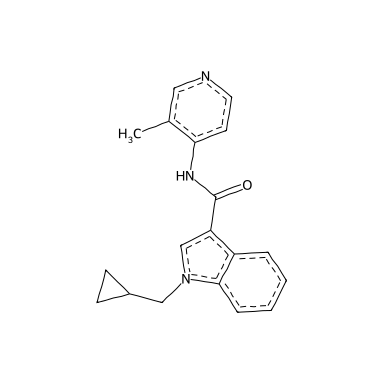 Cc1cnccc1NC(=O)c1cn(CC2CC2)c2ccccc12